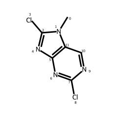 Cn1c(Cl)nc2nc(Cl)ncc21